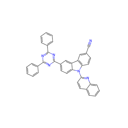 N#Cc1ccc2c(c1)c1cc(-c3nc(-c4ccccc4)nc(-c4ccccc4)n3)ccc1n2-c1ccc2ccccc2n1